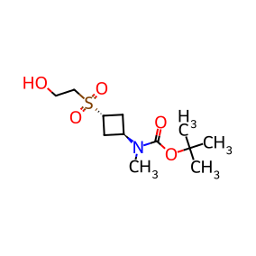 CN(C(=O)OC(C)(C)C)[C@H]1C[C@H](S(=O)(=O)CCO)C1